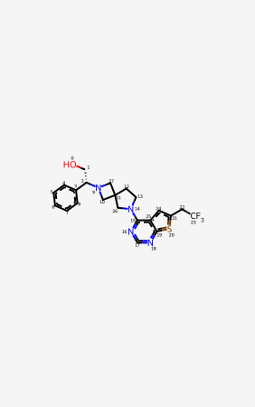 OC[C@@H](c1ccccc1)N1CC2(CCN(c3ncnc4sc(CC(F)(F)F)cc34)C2)C1